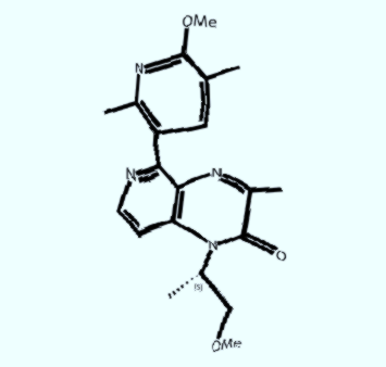 COC[C@H](C)n1c(=O)c(C)nc2c(-c3cc(C)c(OC)nc3C)nccc21